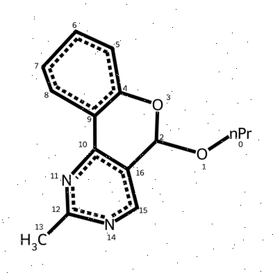 CCCOC1Oc2ccccc2-c2nc(C)ncc21